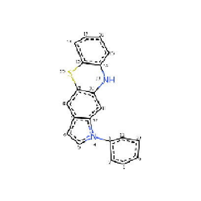 c1ccc(-n2ccc3cc4c(cc32)Nc2ccccc2S4)cc1